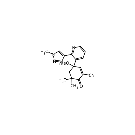 COC1(c2cccnc2-c2cnn(C)c2)C=C(C#N)C(=O)C(C)(C)C1